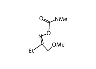 CCC(COC)=NOC(=O)NC